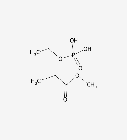 CCC(=O)OC.CCOP(=O)(O)O